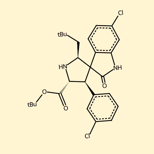 CC(C)(C)C[C@@H]1N[C@@H](C(=O)OC(C)(C)C)[C@H](c2cccc(Cl)c2)C12C(=O)Nc1cc(Cl)ccc12